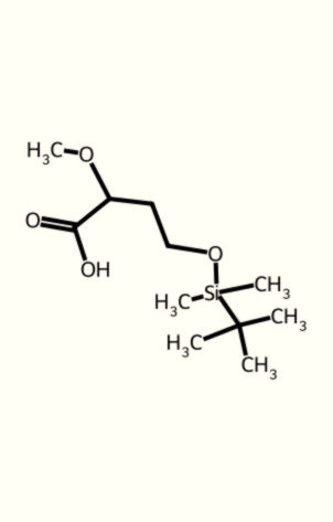 COC(CCO[Si](C)(C)C(C)(C)C)C(=O)O